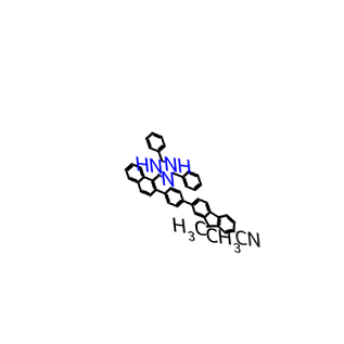 CC1(C)c2cc(C#N)ccc2-c2ccc(-c3ccc(-c4ccc5ccccc5c4C4N=C(c5ccccc5)NC(c5ccccc5)N4)cc3)cc21